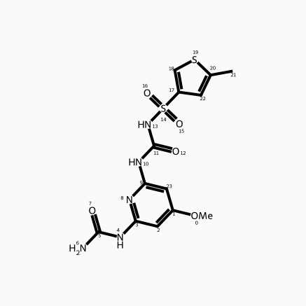 COc1cc(NC(N)=O)nc(NC(=O)NS(=O)(=O)c2csc(C)c2)c1